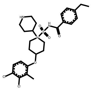 CCc1ccc(C(=O)NS(=O)(=O)[N+]2(C3CCNCC3)CCC(Oc3ccc(Cl)c(Cl)c3C)CC2)cc1